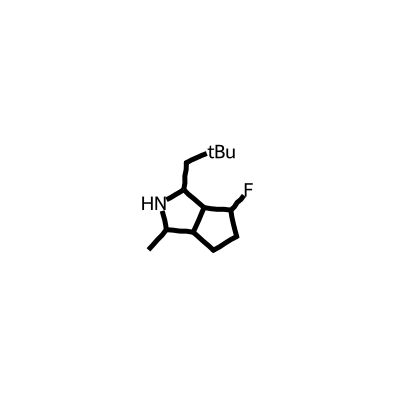 CC1NC(CC(C)(C)C)C2C(F)CCC12